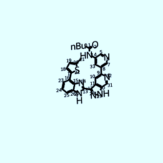 CCCCC(=O)Nc1cncc(-c2cc3c(-c4nc5c(-c6ccc(C)s6)cccc5[nH]4)n[nH]c3cn2)c1